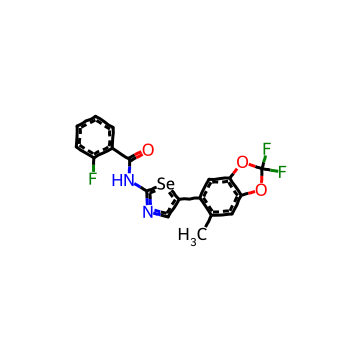 Cc1cc2c(cc1-c1cnc(NC(=O)c3ccccc3F)[se]1)OC(F)(F)O2